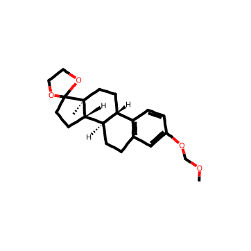 COCOc1ccc2c(c1)CC[C@@H]1[C@@H]2CC[C@@]2(C)[C@H]1CCC21OCCO1